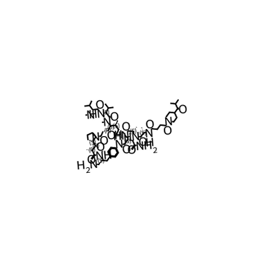 CC[C@H](C)[C@@H]([C@@H](CC(=O)N1CCC[C@H]1[C@H](OC)[C@@H](C)C(=O)N[C@H](CN)Cc1ccc(NC(=O)[C@H](CC(N)=O)NC(=O)[C@H](C)NC(=O)[C@H](C)NC(=O)CCC(=O)N2CCC(C(=O)C(C)C)CC2)cc1)OC)N(C)C(=O)[C@@H](NC(=O)C(C(C)C)N(C)C)C(C)C